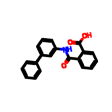 O=C(O)c1ccccc1C(=O)Nc1cccc(-c2ccccc2)c1